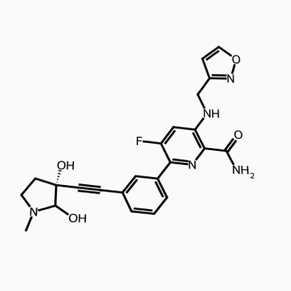 CN1CC[C@@](O)(C#Cc2cccc(-c3nc(C(N)=O)c(NCc4ccon4)cc3F)c2)C1O